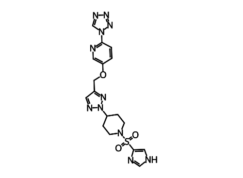 O=S(=O)(c1c[nH]cn1)N1CCC(n2ncc(COc3ccc(-n4cnnn4)nc3)n2)CC1